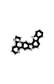 c1ccc2c(c1)sc1c2ccc2sc3cc4c5ncccc5c5nccn5c4cc3c21